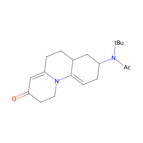 CC(=O)N(C1CC=C2C(CCC3=CC(=O)CCN32)C1)C(C)(C)C